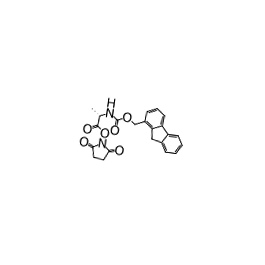 C[C@H](NC(=O)OCc1cccc2c1Cc1ccccc1-2)C(=O)ON1C(=O)CCC1=O